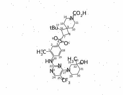 Cc1cc(S(=O)(=O)C2CC3(CCN(C(=O)O)CC3)C2C(C)(C)C)ccc1Nc1ncc(C(F)(F)F)c(N2CCCC(C)(O)C2)n1